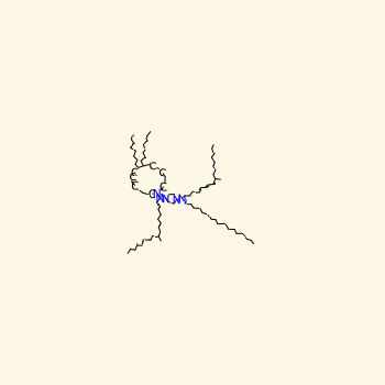 CCCCCCCCCCCCCCCCCN(CCCCCCCCC(C)CCCCCCCC)N1CCN(N(CCCCCCCCC(C)CCCCCCCC)N2CCCCCCCCC(CCCCCCCC)C(CCCCCCCC)CCCCCCCC2)CC1